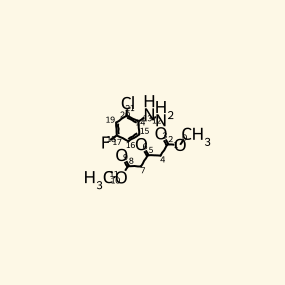 COC(=O)CC(=O)CC(=O)OC.NNc1ccc(F)cc1Cl